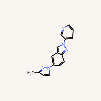 FC(F)(F)c1ccn(-c2ccc3nn(-c4cccnc4)cc3c2)n1